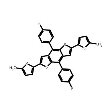 Cc1ccc(-c2cc3c(-c4ccc(F)cc4)c4sc(-c5ccc(C)s5)cc4c(-c4ccc(F)cc4)c3s2)s1